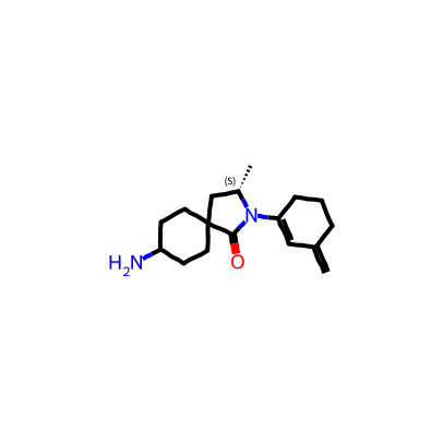 C=C1C=C(N2C(=O)C3(CCC(N)CC3)C[C@@H]2C)CCC1